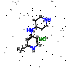 Cl.FC(F)(F)c1cc(NC2CCNCC2)ccn1